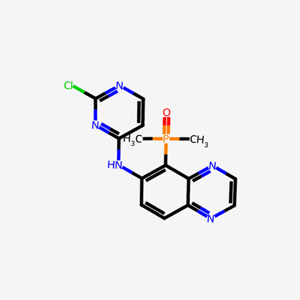 CP(C)(=O)c1c(Nc2ccnc(Cl)n2)ccc2nccnc12